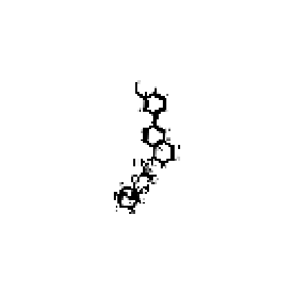 CCc1cccc(-c2ccc3c(c2)CCCC3NC(=O)O[C@H]2CN3CCC2CC3)c1